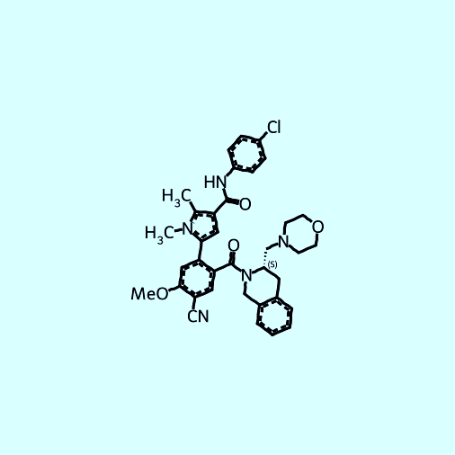 COc1cc(-c2cc(C(=O)Nc3ccc(Cl)cc3)c(C)n2C)c(C(=O)N2Cc3ccccc3C[C@H]2CN2CCOCC2)cc1C#N